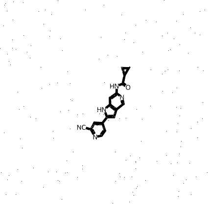 N#Cc1cc(-c2cc3cnc(NC(=O)C4CC4)cc3[nH]2)ccn1